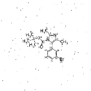 Cc1nc(C)n(C(=O)OC(C)(C)C)c1-c1cccc(Br)c1